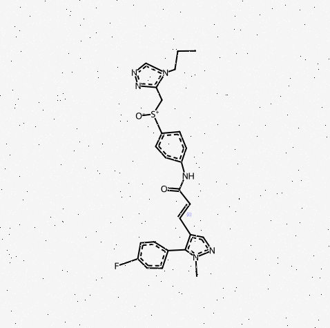 CCCn1cnnc1C[S+]([O-])c1ccc(NC(=O)/C=C/c2cnn(C)c2-c2ccc(F)cc2)cc1